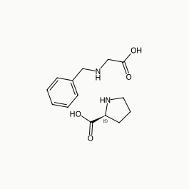 O=C(O)CNCc1ccccc1.O=C(O)[C@@H]1CCCN1